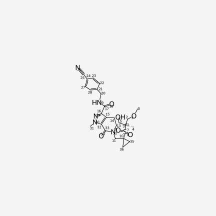 COC[C@](C)(CO)S(=O)(=O)C1(CN2CCc3c(C(=O)NCc4ccc(C#N)cc4)nn(C)c3C2=O)CC1